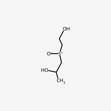 CC(O)C[S+]([O-])CCO